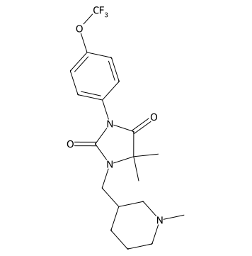 CN1CCCC(CN2C(=O)N(c3ccc(OC(F)(F)F)cc3)C(=O)C2(C)C)C1